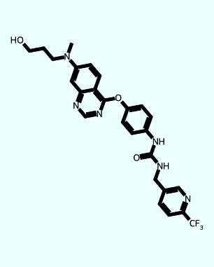 CN(CCCO)c1ccc2c(Oc3ccc(NC(=O)NCc4ccc(C(F)(F)F)nc4)cc3)ncnc2c1